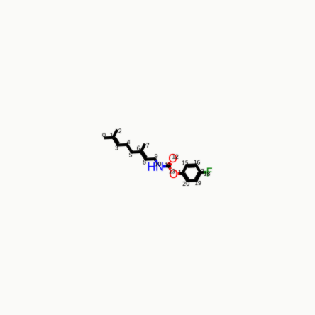 CC(C)=CCC/C(C)=C/CNC(=O)Oc1ccc(F)cc1